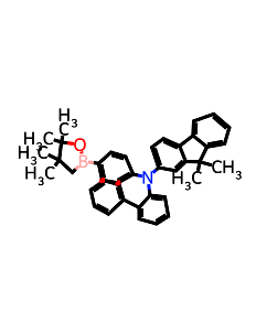 CC1(C)c2ccccc2-c2ccc(N(c3ccc(B4CC(C)(C)C(C)(C)O4)cc3)c3ccccc3-c3ccccc3)cc21